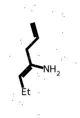 C=CCC(N)=CCC